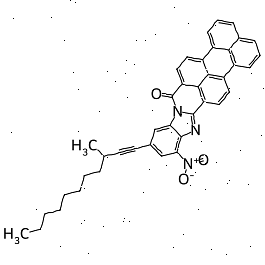 CCCCCCCCC(C)C#Cc1cc([N+](=O)[O-])c2nc3c4ccc5c6cccc7cccc(c8ccc(c(=O)n3c2c1)c4c85)c76